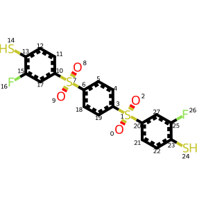 O=S(=O)(c1ccc(S(=O)(=O)c2ccc(S)c(F)c2)cc1)c1ccc(S)c(F)c1